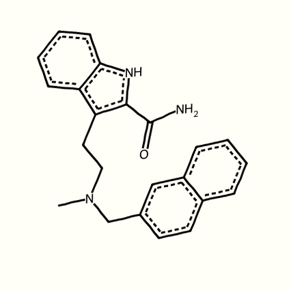 CN(CCc1c(C(N)=O)[nH]c2ccccc12)Cc1ccc2ccccc2c1